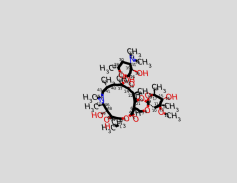 CC[C@H]1OC(=O)[C@@H]2CO[C@@]3(C[C@@](C)(OC)[C@@H](O)[C@H](C)O3)O[C@H]2[C@H](C)[C@@H](O[C@@H]2O[C@H](C)C[C@H](N(C)C)[C@H]2O)[C@](C)(O)C[C@@H](C)CN(C)[C@H](C)[C@@H](O)[C@]1(C)O